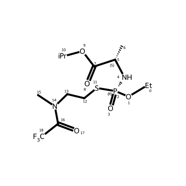 CCO[P@](=O)(N[C@@H](C)C(=O)OC(C)C)SCCN(C)C(=O)C(F)(F)F